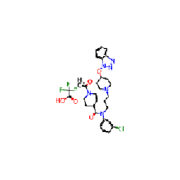 CC(=O)N1CCC(C(=O)N(CCCN2CCC(On3nnc4ccccc43)CC2)c2cccc(Cl)c2)CC1.O=C(O)C(F)(F)F